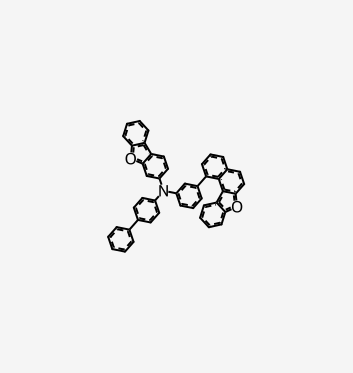 c1ccc(-c2ccc(N(c3cccc(-c4cccc5ccc6oc7ccccc7c6c45)c3)c3ccc4c(c3)oc3ccccc34)cc2)cc1